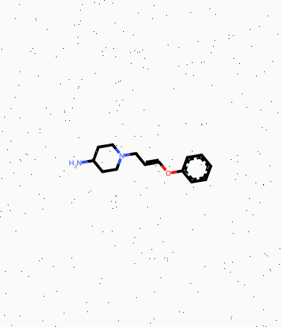 NC1CCN(CC=COc2ccccc2)CC1